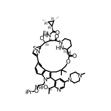 CCO[C@@H]1c2nc(cs2)-c2ccc3c(c2)c(c(-c2cc(N4CCN(C)CC4)cnc2[C@H](C)OC)n3CCOC(C)C)CC(C)(C)COC(=O)[C@@H]2CCCN(N2)C(=O)[C@H]1NC(=O)[C@H]1[C@H](C)[C@@H]1C